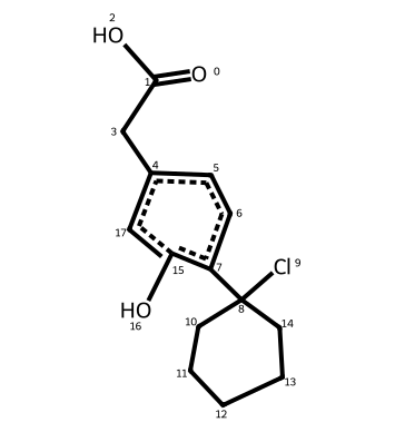 O=C(O)Cc1ccc(C2(Cl)CCCCC2)c(O)c1